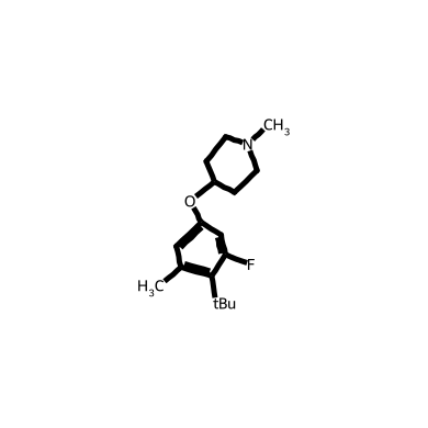 Cc1cc(OC2CCN(C)CC2)cc(F)c1C(C)(C)C